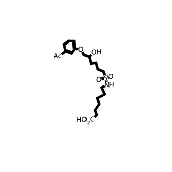 CC(=O)c1cccc(OCC(O)CCCCS(=O)(=O)NCCCCCCC(=O)O)c1